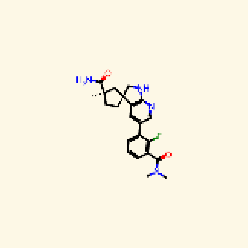 CN(C)C(=O)c1cccc(-c2cnc3c(c2)[C@@]2(CC[C@@](C)(C(N)=O)C2)CN3)c1F